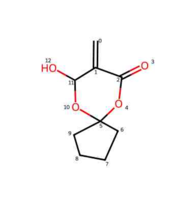 C=C1C(=O)OC2(CCCC2)OC1O